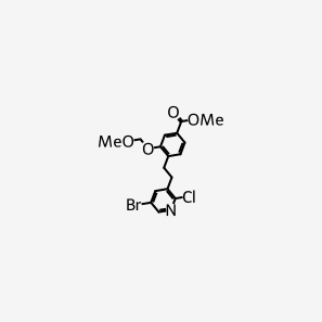 COCOc1cc(C(=O)OC)ccc1CCc1cc(Br)cnc1Cl